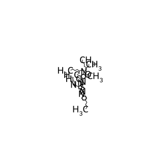 CCCCc1ccc(N=Nc2cc(C#N)c(/N=N/c3cc(OC)c(N(CC(CC)CCCC)CC(CC)CCCC)cc3C)s2)cc1